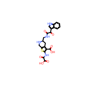 O=C(O)C(=O)Nc1sc2c(c1C(=O)O)CC(CNC(=O)C(=O)c1c[nH]c3ccccc13)NC2